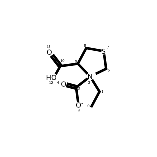 CC[N+]1(C(=O)[O-])CSCC1C(=O)O